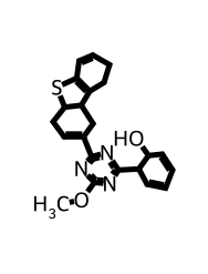 COc1nc(C2=CCC3SC4=C(CCC=C4)C3C2)nc(C2C=CC=CC2O)n1